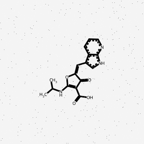 CC(C)NC1=C(C(=O)O)C(=O)C(=Cc2c[nH]c3ncccc23)O1